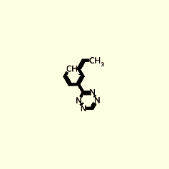 C\C=C/C=C(\C=C/C)c1nncnn1